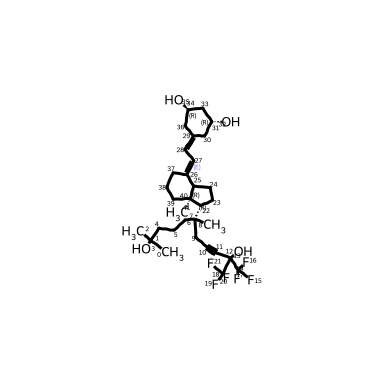 CC(C)(O)CCCC(C)(CC#CC(O)(C(F)(F)F)C(F)(F)F)[C@H]1CCC2/C(=C/C=C3C[C@@H](O)C[C@H](O)C3)CCC[C@@]21C